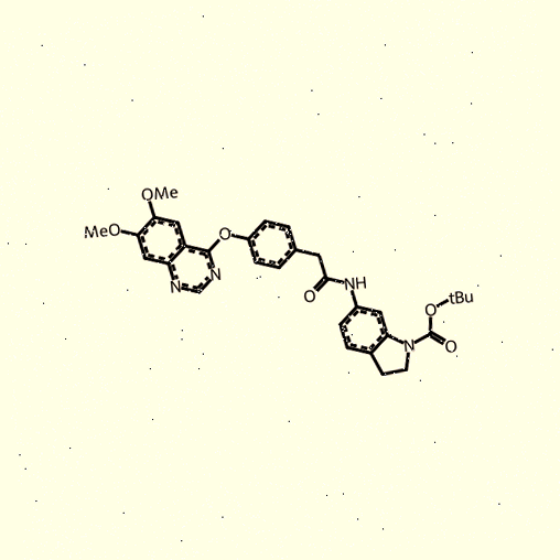 COc1cc2ncnc(Oc3ccc(CC(=O)Nc4ccc5c(c4)N(C(=O)OC(C)(C)C)CC5)cc3)c2cc1OC